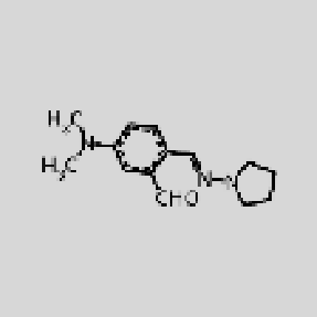 CN(C)c1ccc(C=NN2CCCC2)c(C=O)c1